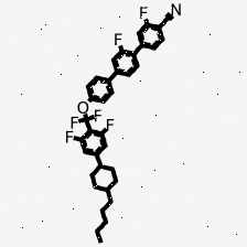 CCCCCC1CCC(c2cc(F)c(C(F)(F)Oc3ccc(-c4ccc(-c5ccc(C#N)c(F)c5)c(F)c4)cc3)c(F)c2)CC1